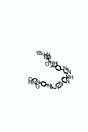 Cc1cc(-c2cc(Nc3ccc(N4CCN(CC5CN(c6ccc(N7CCC(=O)NC7=O)cc6)C5)CC4)cn3)ncn2)ccc1[C@@H](C)NC(=O)c1nc(C(C)(C)C)no1